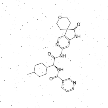 CC1CCC([C@H](NC(=O)c2cccnc2)C(=O)Nc2cc3c(cn2)C2(CCOCC2)C(=O)N3)CC1